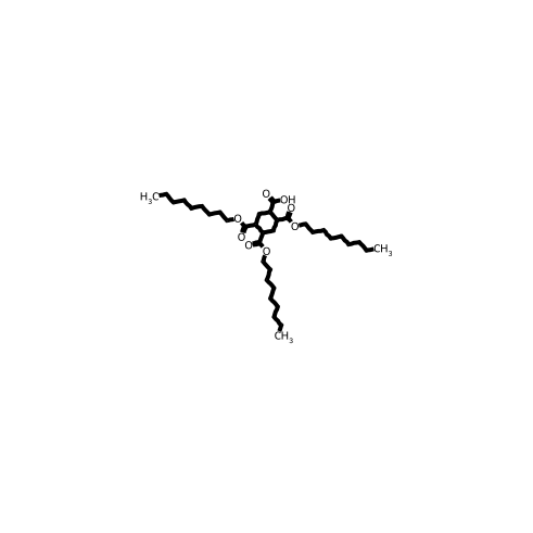 CCCCCCCCCOC(=O)C1CC(C(=O)OCCCCCCCCC)C(C(=O)OCCCCCCCCC)CC1C(=O)O